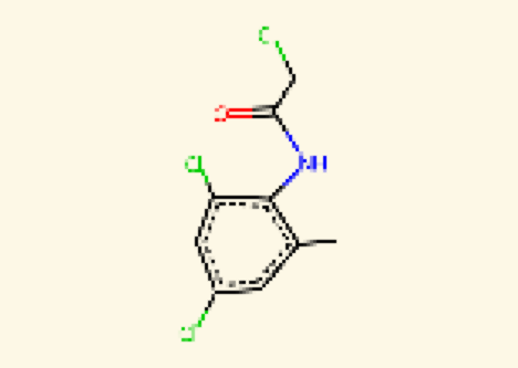 Cc1cc(Cl)cc(Cl)c1NC(=O)CCl